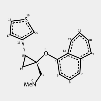 CNC[C@@]1(Oc2cccc3ccccc23)C[C@@H]1c1ccsc1